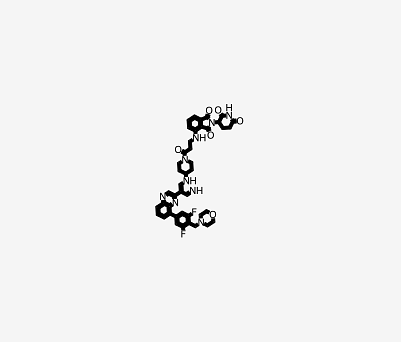 N=C/C(=C\NC1CCN(C(=O)CCNc2cccc3c2C(=O)N(C2CCC(=O)NC2=O)C3=O)CC1)c1cnc2cccc(-c3cc(F)c(CN4CCOCC4)c(F)c3)c2n1